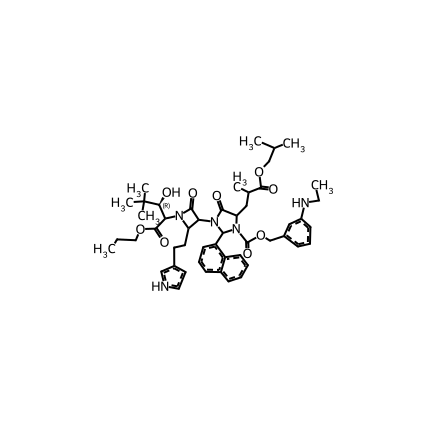 CCCOC(=O)C([C@H](O)C(C)(C)C)N1C(=O)C(N2C(=O)C(CC(C)C(=O)OCC(C)C)N(C(=O)OCc3cccc(NCC)c3)C2c2cccc3ccccc23)C1CCc1cc[nH]c1